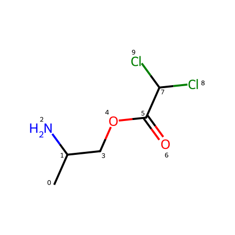 CC(N)COC(=O)C(Cl)Cl